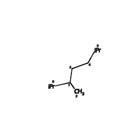 [CH2]C(C)C(C)CCC(C)C